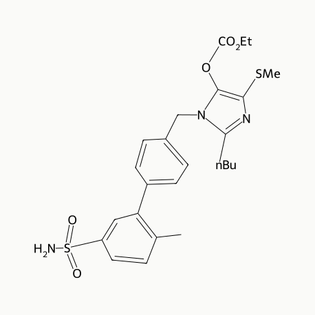 CCCCc1nc(SC)c(OC(=O)OCC)n1Cc1ccc(-c2cc(S(N)(=O)=O)ccc2C)cc1